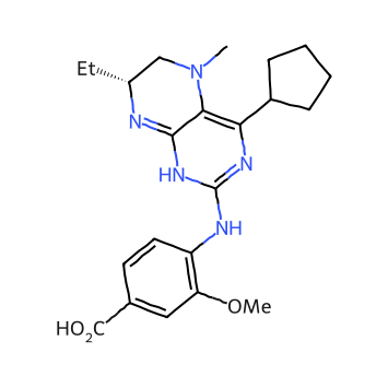 CC[C@@H]1CN(C)C2=C(C3CCCC3)N=C(Nc3ccc(C(=O)O)cc3OC)NC2=N1